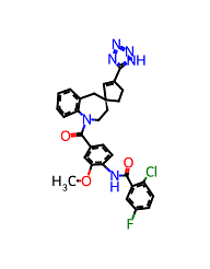 COc1cc(C(=O)N2CC[C@]3(C=C(c4nnn[nH]4)CC3)Cc3ccccc32)ccc1NC(=O)c1cc(F)ccc1Cl